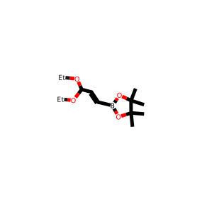 CCOC(C=CB1OC(C)(C)C(C)(C)O1)OCC